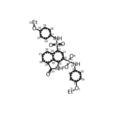 CCOc1ccc(NS(=O)(=O)c2cc(S(=O)(=O)Nc3ccc(OCC)cc3)c3cccc4c3c2NC4=O)cc1